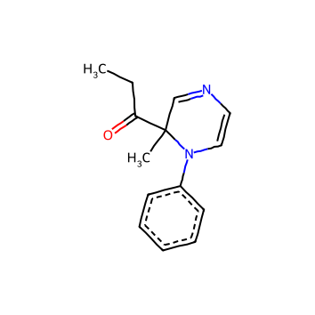 CCC(=O)C1(C)C=NC=CN1c1ccccc1